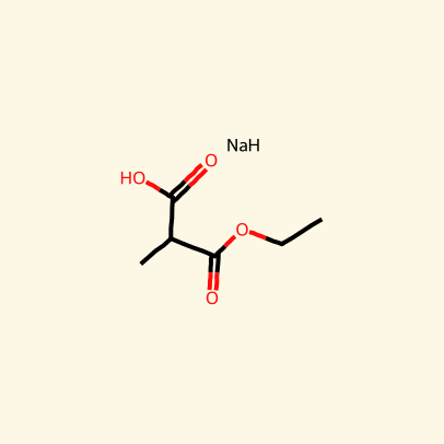 CCOC(=O)C(C)C(=O)O.[NaH]